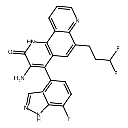 Nc1c(-c2ccc(F)c3[nH]ncc23)c2cc(CCC(F)F)c3ncccc3c2[nH]c1=O